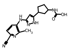 Cc1nc(C#N)ccc1Nc1cc(C2CCC(NC(=O)O)C2)[nH]n1